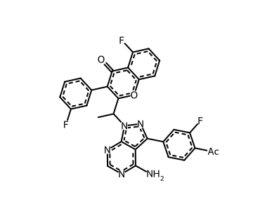 CC(=O)c1ccc(-c2nn(C(C)c3oc4cccc(F)c4c(=O)c3-c3cccc(F)c3)c3ncnc(N)c23)cc1F